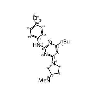 CCCCc1cc(N2CCC(NC)C2)nc(Nc2ccc(C(F)(F)F)cc2)n1